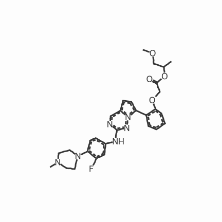 COCC(C)OC(=O)COc1ccccc1-c1ccc2cnc(Nc3ccc(N4CCN(C)CC4)c(F)c3)nn12